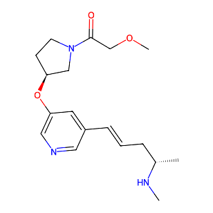 CN[C@@H](C)C/C=C/c1cncc(O[C@H]2CCN(C(=O)COC)C2)c1